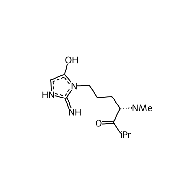 CN[C@@H](CCCn1c(O)c[nH]c1=N)C(=O)C(C)C